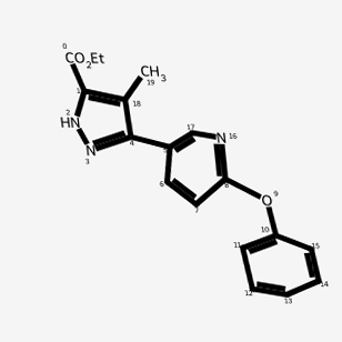 CCOC(=O)c1[nH]nc(-c2ccc(Oc3ccccc3)nc2)c1C